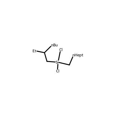 CCCCCCCC[Si](Cl)(Cl)CC(CC)CCCC